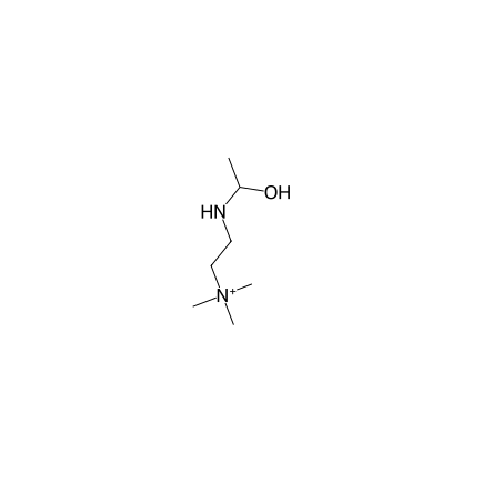 CC(O)NCC[N+](C)(C)C